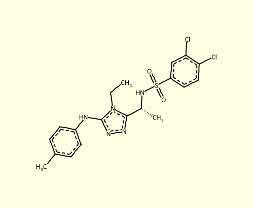 CCn1c(Nc2ccc(C)cc2)nnc1[C@@H](C)NS(=O)(=O)c1ccc(Cl)c(Cl)c1